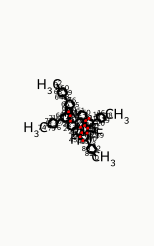 Cc1ccc(-c2ccc3c(c2)c2cc(-c4ccc(C)cc4)ccc2n3-c2cccc(C#N)c2-c2c(-c3cc(C(F)(F)F)cc(C(F)(F)F)c3)cccc2-n2c3ccc(-c4ccc(C)cc4)cc3c3cc(-c4ccc(C)cc4)ccc32)cc1